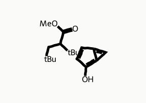 COC(=O)C(CC(C)(C)C)C(C)(C)C.Oc1ccc2cc1-2